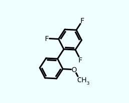 COc1ccccc1-c1c(F)cc(F)cc1F